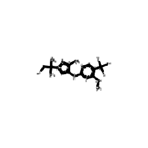 CNc1nc(Nc2cn(C(C)(C)CF)nc2C)ncc1C(F)(F)F